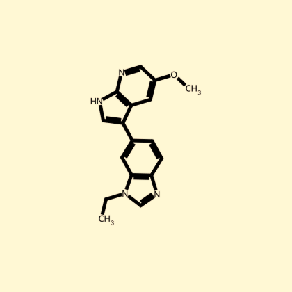 CCn1cnc2ccc(-c3c[nH]c4ncc(OC)cc34)cc21